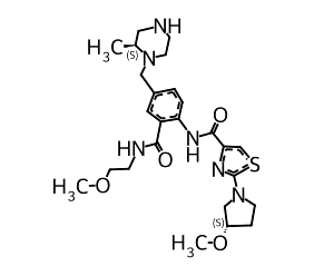 COCCNC(=O)c1cc(CN2CCNC[C@@H]2C)ccc1NC(=O)c1csc(N2CC[C@H](OC)C2)n1